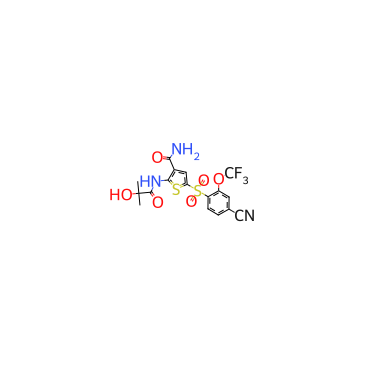 CC(C)(O)C(=O)Nc1sc(S(=O)(=O)c2ccc(C#N)cc2OC(F)(F)F)cc1C(N)=O